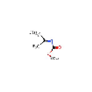 CCOC(=O)C(=NC(=O)OC(C)(C)C)C(F)(F)F